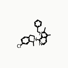 Cc1c(C)n(Cc2ccccc2)c2c(N3CCc4ccc(Cl)cc4C3C)nccc12